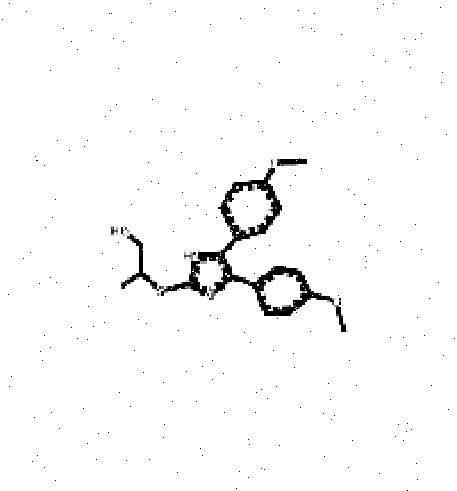 COc1ccc(-c2nc(SC(C)CO)[nH]c2-c2ccc(OC)cc2)cc1